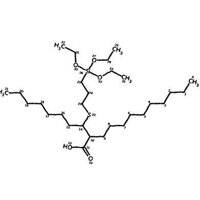 CCCCCCCCCCC(C(=O)O)C(CCCCCCC)SCCC[Si](OCC)(OCC)OCC